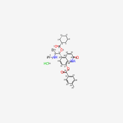 CCC(NC(C)C)C(OC(=O)C1CCCCC1)c1ccc(OC(=O)c2ccc(C)cc2)c2[nH]c(=O)ccc12.Cl